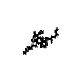 C=C/C=C\CC(F)Nc1ncnc2c1cc(C1(C#N)CC1)c(=O)n2CCCN=[N+]=[N-]